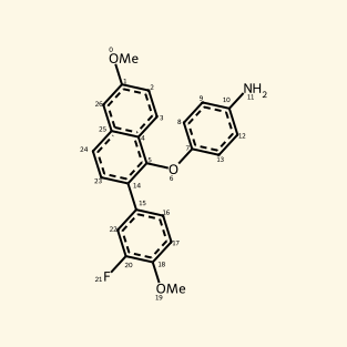 COc1ccc2c(Oc3ccc(N)cc3)c(-c3ccc(OC)c(F)c3)ccc2c1